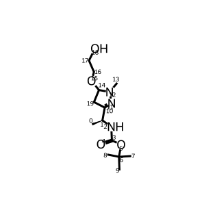 C[C@H](NC(=O)OC(C)(C)C)C1=NN(C)C(OCCO)C1